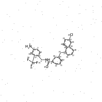 Nc1ccc(CNC(=O)c2ccnc(Cc3cccc4cc(Cl)cnc34)c2)c(C(F)(F)F)n1